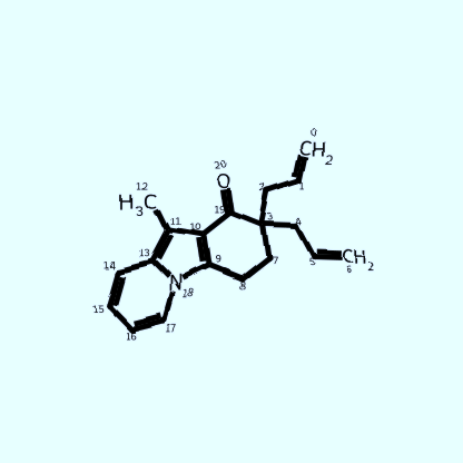 C=CCC1(CC=C)CCc2c(c(C)c3ccccn23)C1=O